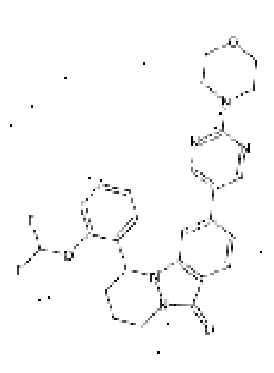 O=c1c2ccc(-c3cnc(N4CCOCC4)nc3)cc2n2n1CCCC2c1ccccc1OC(F)F